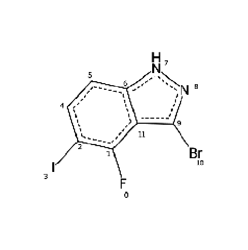 Fc1c(I)ccc2[nH]nc(Br)c12